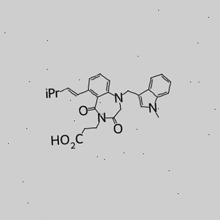 CC(C)C=Cc1cccc2c1C(=O)N(CCC(=O)O)C(=O)CN2Cc1cn(C)c2ccccc12